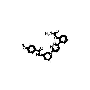 COc1ccc(C(=O)NC2CCCN(c3ccc(-c4ccccc4OC(N)=O)nn3)C2)cc1